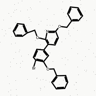 Brc1ccc(-c2ccc(OCc3ccccc3)nc2OCc2ccccc2)cc1OCc1ccccc1